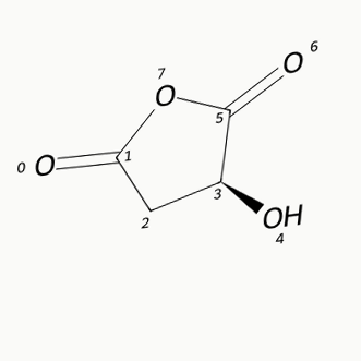 O=C1C[C@H](O)C(=O)O1